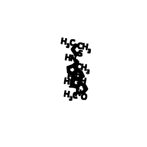 CC(C)CC(=S)NCC1CC[C@H]2[C@@H]3CCC4N(C)C(=O)C=C[C@]4(C)[C@@H]3CC[C@]12C